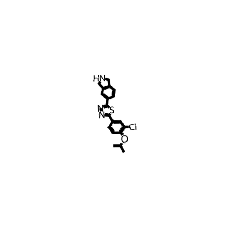 CC(C)Oc1ccc(-c2nnc(-c3ccc4c(c3)CNC4)s2)cc1Cl